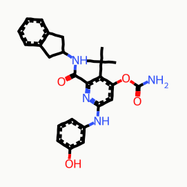 CC(C)(C)c1c(OC(N)=O)cc(Nc2cccc(O)c2)nc1C(=O)NC1Cc2ccccc2C1